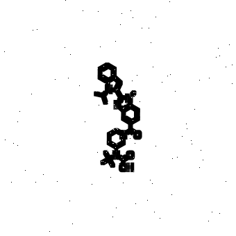 CC(C)n1c(-c2nc3cc(C(=O)N4CCC[C@@H](N(C(=O)O)C(C)(C)C)C4)ccc3n2C)cc2ccccc21